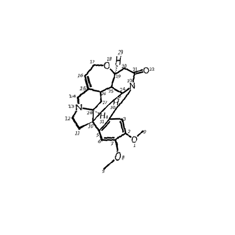 COc1cc2c(cc1OC)[C@@]13CCN4CC5=CCO[C@H]6CC(=O)N2[C@@H]1C6C5C[C@H]43